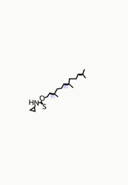 CC(C)=CCC/C(C)=C/CC/C(C)=C/COC(=S)NC1CC1